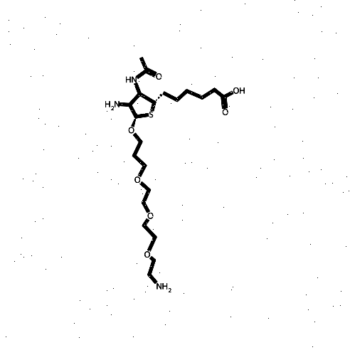 CC(=O)NC1C(N)[C@H](OCCCOCCOCCOCCN)S[C@H]1CCCCCC(=O)O